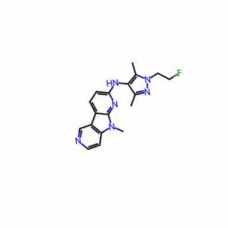 Cc1nn(CCF)c(C)c1Nc1ccc2c3cnccc3n(C)c2n1